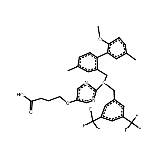 COc1ccc(C)cc1-c1ccc(C)cc1CN(Cc1cc(C(F)(F)F)cc(C(F)(F)F)c1)c1ncc(OCCCC(=O)O)cn1